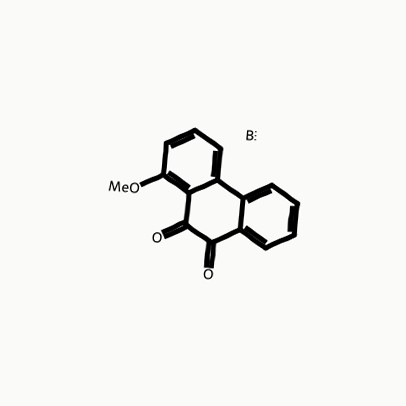 COc1cccc2c1C(=O)C(=O)c1ccccc1-2.[B]